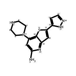 Nc1cc(N2CCNCC2)c2sc(-c3ccn[nH]3)cc2n1